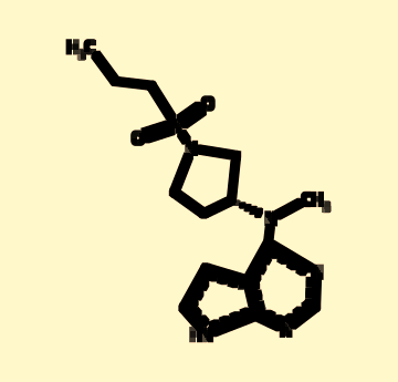 CCCS(=O)(=O)N1CC[C@@H](N(C)c2ncnc3[nH]ccc23)C1